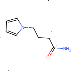 NC(=O)[CH]CCn1cccc1